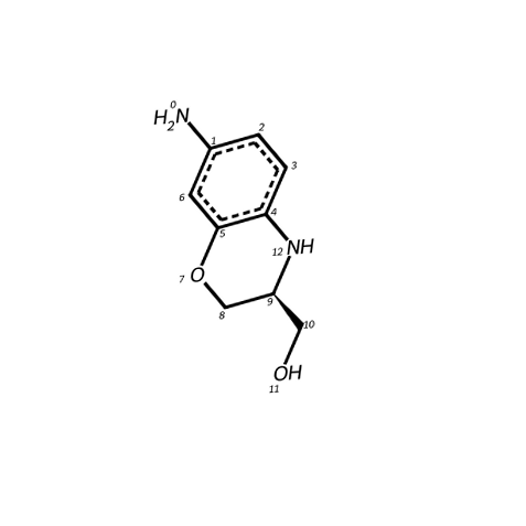 Nc1ccc2c(c1)OC[C@H](CO)N2